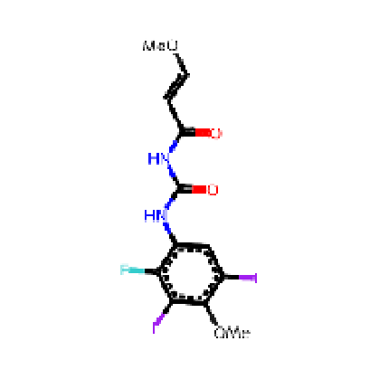 CO/C=C/C(=O)NC(=O)Nc1cc(I)c(OC)c(I)c1F